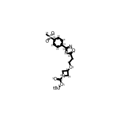 CC(C)(C)OC(=O)N1CC(OCCc2nc(-c3ccc(S(C)(=O)=O)cc3)no2)C1